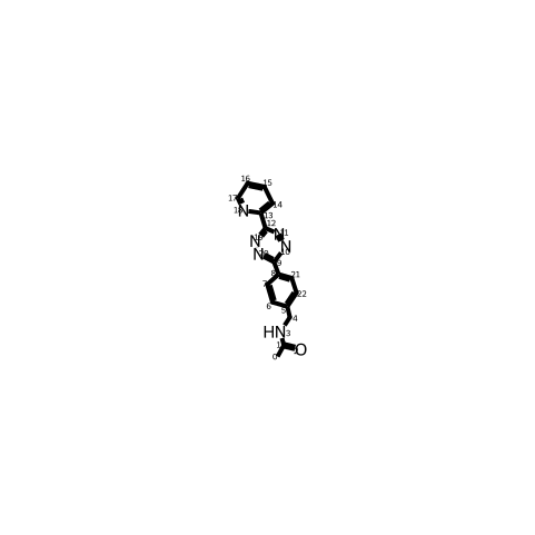 CC(=O)NCc1ccc(-c2nnc(-c3ccccn3)nn2)cc1